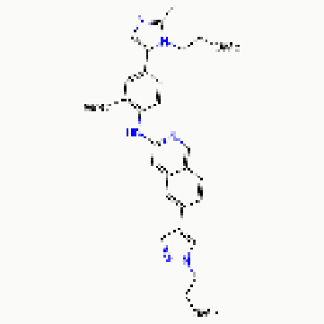 COCCn1cc(-c2ccc3cnc(Nc4ccc(-c5cnc(C)n5CCOC)cc4OC)cc3c2)cn1